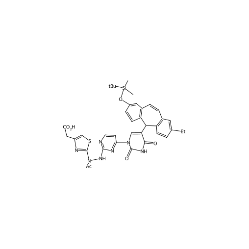 CCc1ccc2c(c1)C=Cc1cc(O[Si](C)(C)C(C)(C)C)ccc1C2c1cn(-c2ccnc(NN(C(C)=O)c3nc(CC(=O)O)cs3)n2)c(=O)[nH]c1=O